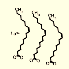 CCCCCC/C=C\CCCCCCCC(=O)[O-].CCCCCC/C=C\CCCCCCCC(=O)[O-].CCCCCC/C=C\CCCCCCCC(=O)[O-].[La+3]